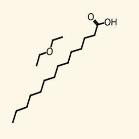 CCCCCCCCCCCCCC(=O)O.CCOCC